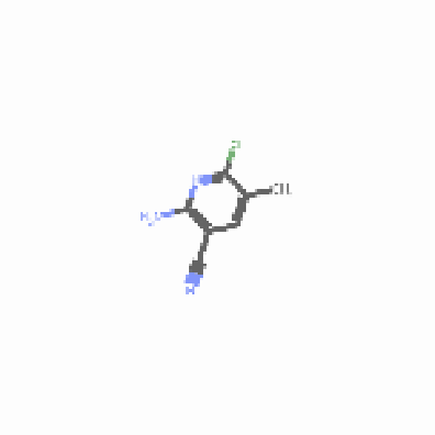 Cc1cc(C#N)c(N)nc1Cl